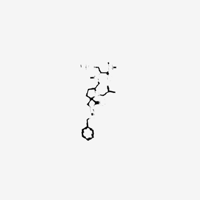 CC(C)CN1C(CN(C)[C@H](C(=O)N(C)C)[C@@H](C)O)CCC12CN(OCc1ccccc1)C2=O